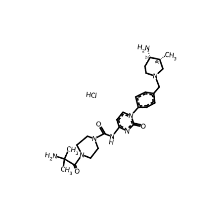 C[C@@H]1CN(Cc2ccc(-n3ccc(NC(=O)N4CCN(C(=O)C(C)(C)N)CC4)nc3=O)cc2)CC[C@@H]1N.Cl